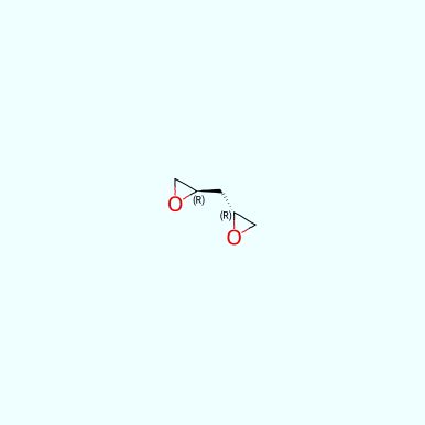 C1O[C@@H]1C[C@@H]1CO1